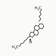 CCCCCCC[C@@H]1CCCC2C3CCC4C[C@@](C#N)(CCCCCCC)CCC4C3CCC21